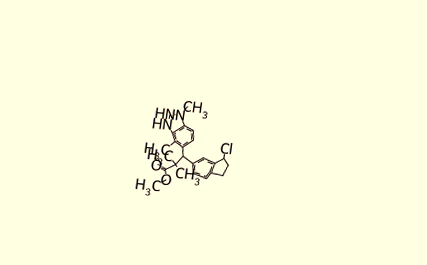 COC(=O)C(C)(C)C(c1ccc2c(c1)C(Cl)CC2)c1ccc2c(c1C)NNN2C